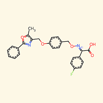 Cc1oc(-c2ccccc2)nc1COc1ccc(CO/N=C(/C(=O)O)c2ccc(F)cc2)cc1